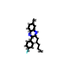 CC(=O)CCCCc1nc2cc(C(C)=O)ccc2nc1-c1ccc(F)cc1